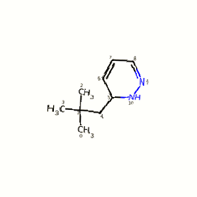 CC(C)(C)CC1C=CC=NN1